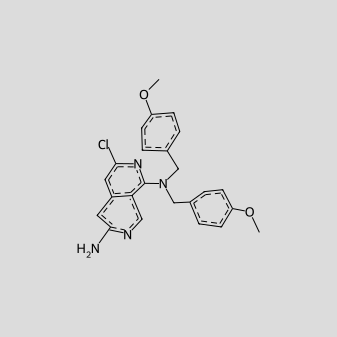 COc1ccc(CN(Cc2ccc(OC)cc2)c2nc(Cl)cc3cc(N)ncc23)cc1